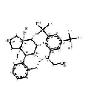 Cc1ccccc1[C@H]1[C@H]2CNC[C@H]2CC[C@@H]1O[C@H](CO)c1cc(C(F)(F)F)cc(C(F)(F)F)c1